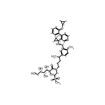 Cc1ccc(C(C)CCCN(CCS(C)(=O)=O)C(=O)[C@@H](O)[C@@H](O)[C@H](O)[C@@H](O)CO)cc1CNC1(c2cnccc2-c2ccccc2OC2CC2)CC1